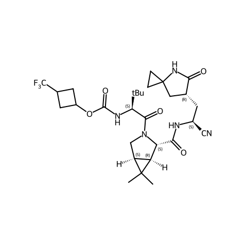 CC(C)(C)[C@H](NC(=O)OC1CC(C(F)(F)F)C1)C(=O)N1C[C@H]2[C@@H]([C@H]1C(=O)N[C@H](C#N)C[C@@H]1CC3(CC3)NC1=O)C2(C)C